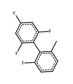 Cc1[c]ccc(F)c1-c1c(F)cc(F)cc1F